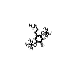 [2H]C([2H])([2H])Oc1cc(CCN)c(OC([2H])([2H])[2H])cc1Br